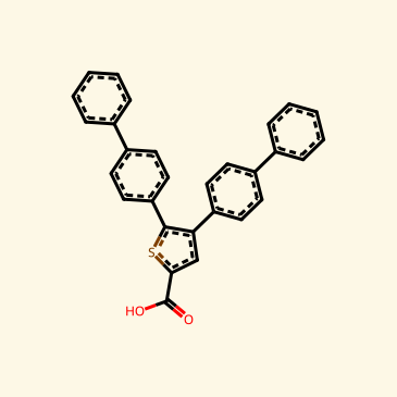 O=C(O)c1cc(-c2ccc(-c3ccccc3)cc2)c(-c2ccc(-c3ccccc3)cc2)s1